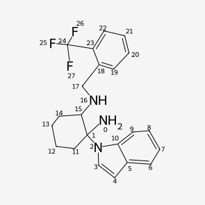 NC1(n2ccc3ccccc32)CCCCC1NCc1ccccc1C(F)(F)F